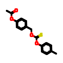 CC(=O)Oc1ccc(COC(=S)Oc2ccc(C)cc2)cc1